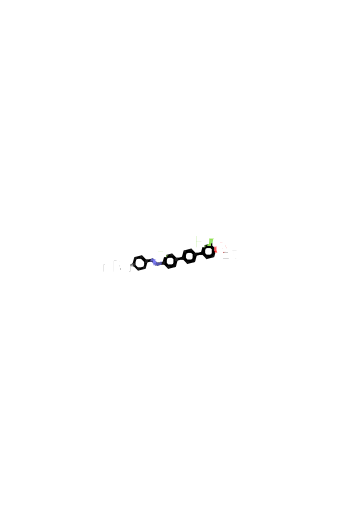 CCCCC1CC=C(/C=C/c2ccc(-c3ccc(-c4ccc(OCC)c(F)c4F)cc3)cc2F)CC1